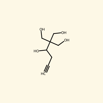 C#CCC(O)C(CO)(CO)CO